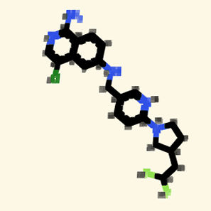 Nc1ncc(Cl)c2cc(NCc3ccc(N4CCC(CC(F)F)C4)nc3)ccc12